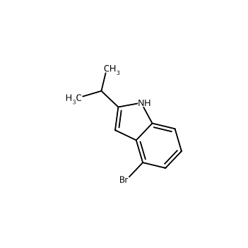 CC(C)c1cc2c(Br)cccc2[nH]1